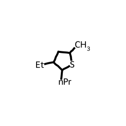 CCCC1SC(C)CC1CC